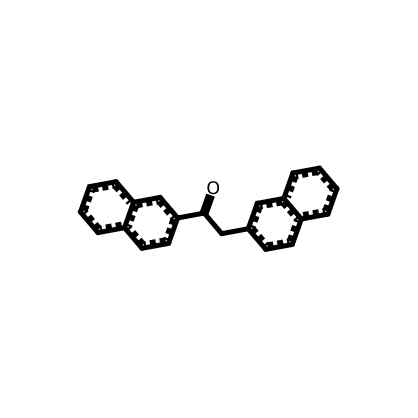 O=C(Cc1ccc2ccccc2c1)c1ccc2ccccc2c1